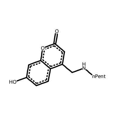 CCCCCNCc1cc(=O)oc2cc(O)ccc12